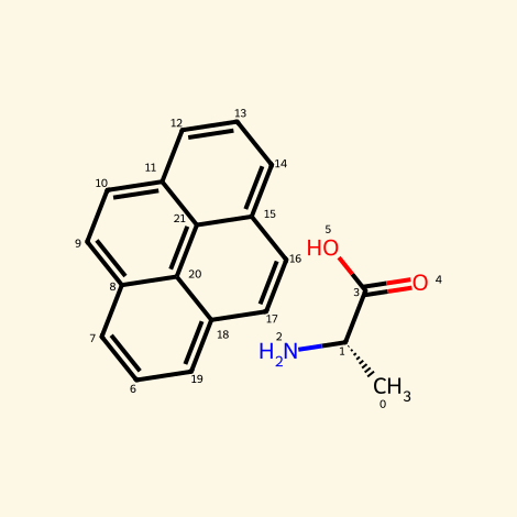 C[C@H](N)C(=O)O.c1cc2ccc3cccc4ccc(c1)c2c34